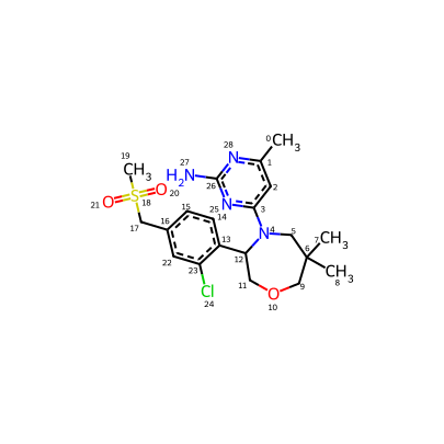 Cc1cc(N2CC(C)(C)COCC2c2ccc(CS(C)(=O)=O)cc2Cl)nc(N)n1